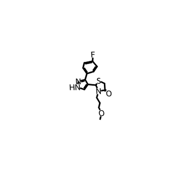 COCCCN1C(=O)CSC1c1c[nH]nc1-c1ccc(F)cc1